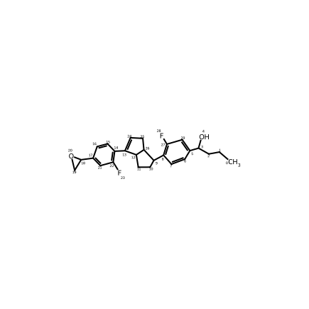 CCCC(O)c1ccc(C2CCC3C(c4ccc(C5CO5)cc4F)=CCC32)c(F)c1